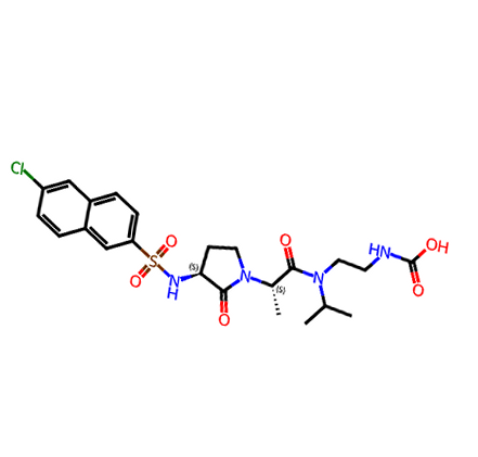 CC(C)N(CCNC(=O)O)C(=O)[C@H](C)N1CC[C@H](NS(=O)(=O)c2ccc3cc(Cl)ccc3c2)C1=O